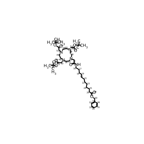 CC(C)(C)OC(=O)CN1CCN(CC(=O)NCCCCCCCCCCCC(=O)OCc2ccccc2)CCN(CC(=O)OC(C)(C)C)CCN(CC(=O)OC(C)(C)C)CC1